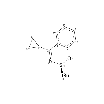 CC(C)(C)[S@+]([O-])/N=C(\c1ccccc1)C1CC1